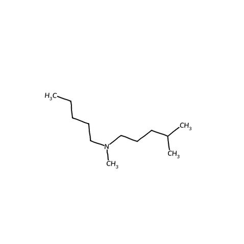 CCCCCN(C)CCCC(C)C